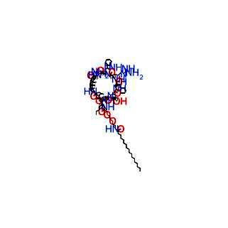 CCCCCCCCCCCCCCCCCC(=O)NCCOCCOCC(=O)N[C@@H](CCCC)C(=O)N[C@H]1CCC(=O)NCCCC[C@@H](C(N)=O)NC(=O)[C@H](Cc2c[nH]c3ccccc23)NC(=O)[C@H](CCCNC(=N)N)NC(=O)[C@@H](Cc2ccccc2)NC(=O)C2C[C@@H](O)CN2C1=O